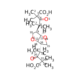 CC(C)(C(=O)O)C(=O)C(C)(C)[C@@H]1CO[C@H]2[C@@H]1OC[C@@H]2C(C)(C)C(=O)C(C)(C)C(=O)O